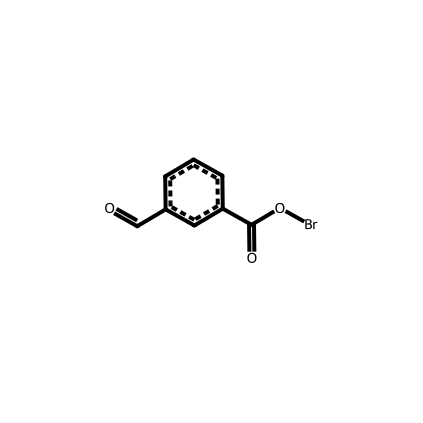 O=Cc1cccc(C(=O)OBr)c1